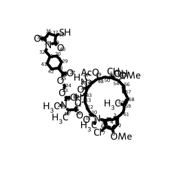 COc1cc2cc(c1Cl)N(C)C(=O)C[C@H](OC(=O)[C@H](C)N(C)C(=O)OCOC(=O)C1CCC(CN3C(=O)CC(S)C3=O)CC1)[C@@H]1O[C@H]1[C@H](C)[C@@H](OC(C)=O)C[C@](C)(O)[C@H](OC)/C=C/C=C(\C)C2